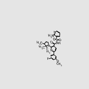 COc1cc(F)cc(-c2ccc(C(=O)NS(=O)(=O)c3cccnc3N)c(N3CCC(C)C3(C)C)n2)c1